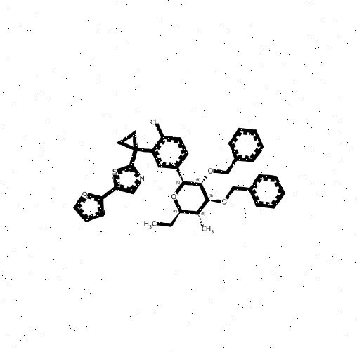 CC[C@H]1O[C@@H](c2ccc(Cl)c(C3(c4ncc(-c5ccco5)s4)CC3)c2)[C@H](OCc2ccccc2)[C@@H](OCc2ccccc2)[C@@H]1C